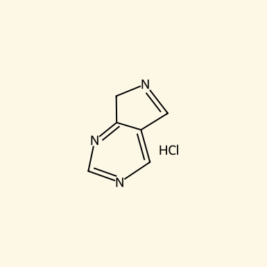 C1=NCc2ncncc21.Cl